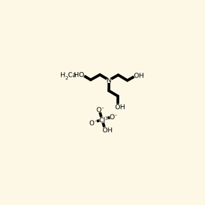 OCCN(CCO)CCO.[CaH2].[O-][Cl+3]([O-])([O-])O